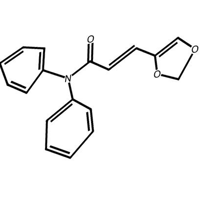 O=C(C=CC1=COCO1)N(c1ccccc1)c1ccccc1